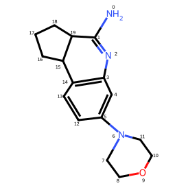 NC1=Nc2cc(N3CCOCC3)ccc2C2CCCC12